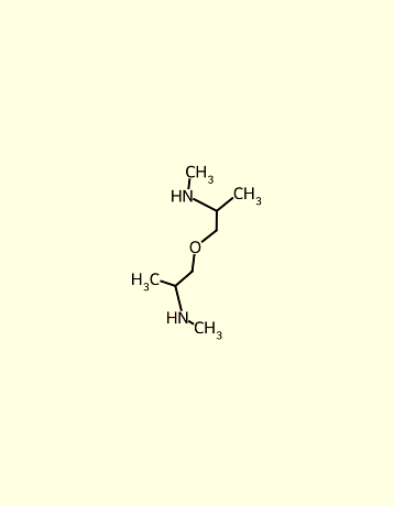 CNC(C)COCC(C)NC